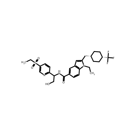 CCn1c(C[C@H]2CC[C@@H](C(F)(F)F)CC2)cc2cc(C(=O)NC(CO)c3ccc(S(=O)(=O)CC)cn3)ccc21